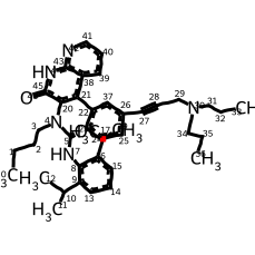 CCCCN(C(=O)Nc1c(C(C)C)cccc1C(C)C)c1c(-c2cccc(C#CCN(CCC)CCC)c2)c2cccnc2[nH]c1=O